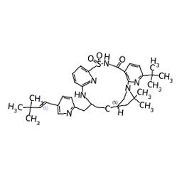 CC(C)(C)/C=C/c1ccc(CC2CC[C@@H]3CN(c4nc(C(C)(C)C)ccc4C(=O)NS(=O)(=O)c4cccc(n4)N2)C(C)(C)C3)nc1